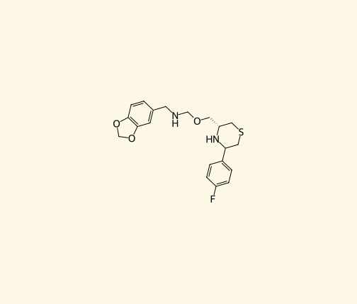 Fc1ccc(C2CSC[C@@H](COCNCc3ccc4c(c3)OCO4)N2)cc1